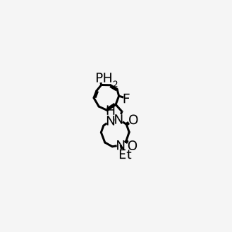 CCN1CCCCNN(C/C2=C/C/C=C\C(P)C=CC2F)C(=O)CC1=O